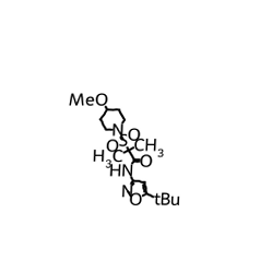 COC1CCN(S(=O)(=O)C(C)(C)C(=O)Nc2cc(C(C)(C)C)on2)CC1